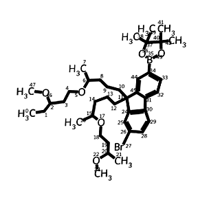 CCC(CCOC(C)CCCC1(CCCC(C)OCCC(C)OC)c2cc(Br)ccc2-c2ccc(B3OC(C)(C)C(C)(C)O3)cc21)OC